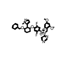 COc1ccc(CN(c2ccncn2)S(=O)(=O)c2cc(F)c(OC3CCCC(OCc4ccccc4)C3c3ccnn3C)cc2F)c(OC)c1